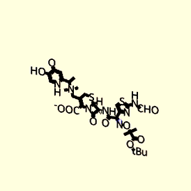 CC(c1cc(=O)c(O)c[nH]1)[N+](C)(C)CC1=C(C(=O)[O-])N2C(=O)[C@@H](NC(=O)/C(=N/OC(C)(C)C(=O)OC(C)(C)C)c3csc(NC=O)n3)[C@H]2SC1